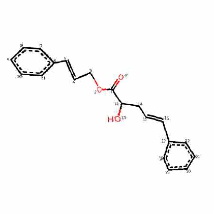 O=C(OC/C=C/c1ccccc1)C(O)C/C=C/c1ccccc1